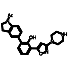 CC(=O)N1CCc2cc(-c3cccc(-c4cc(N5CCNCC5)no4)c3O)ccc21